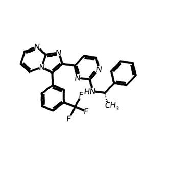 C[C@H](Nc1nccc(-c2nc3ncccn3c2-c2cccc(C(F)(F)F)c2)n1)c1ccccc1